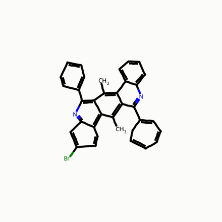 Cc1c2c(-c3ccccc3)nc3cc(Br)ccc3c2c(C)c2c(C3=CC=CC=CC3)nc3ccccc3c12